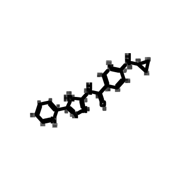 O=C(Nc1nnc(-c2ccccn2)[nH]1)c1ccc(NC2CC2)nc1